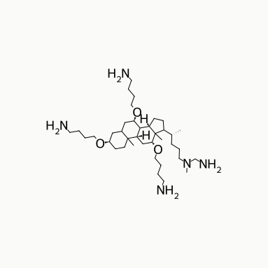 C[C@H](CCCN(C)CN)C1CC[C@H]2C3[C@H](OCCCCN)CC4C[C@H](OCCCCN)CCC4(C)[C@H]3C[C@H](OCCCCN)C12C